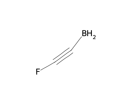 BC#CF